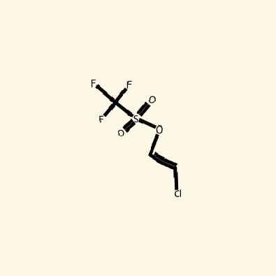 O=S(=O)(OC=CCl)C(F)(F)F